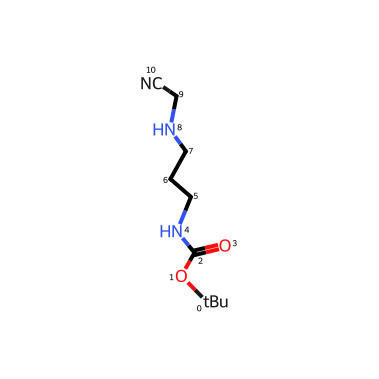 CC(C)(C)OC(=O)NCCCNCC#N